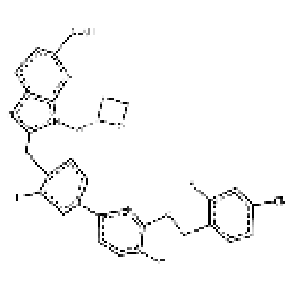 N#Cc1ccc(COc2nc(-c3ccc(Cc4nc5ccc(C(=O)O)nc5n4C[C@@H]4CCO4)c(F)c3)ccc2F)c(F)c1